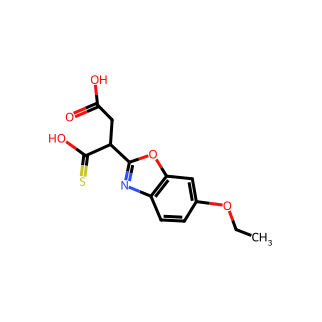 CCOc1ccc2nc(C(CC(=O)O)C(O)=S)oc2c1